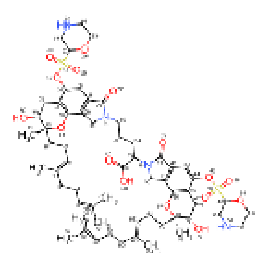 CC(C)=CCC/C(C)=C/CC[C@@]1(C)Oc2c(c(OS(=O)(=O)C3CNCCO3)cc3c2CN(CCCC(C(=O)O)N2Cc4c(cc(OS(=O)(=O)C5CNCCO5)c5c4O[C@](C)(CC/C=C(\C)CCC=C(C)C)[C@@H](O)C5)C2=O)C3=O)C[C@@H]1O